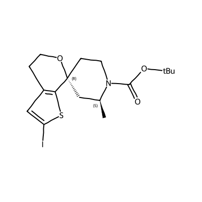 C[C@H]1C[C@@]2(CCN1C(=O)OC(C)(C)C)OCCc1cc(I)sc12